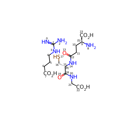 N=C(N)NCCCC(=O)O.N[C@@H](CCC(=O)N[C@@H](CS)C(=O)NCC(=O)O)C(=O)O